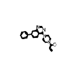 C=CC(=O)N1CCN(c2ncnc3c2CCC(c2ccccc2)C3)CC1